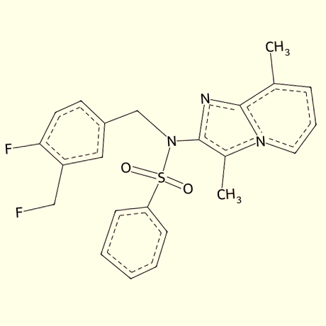 Cc1cccn2c(C)c(N(Cc3ccc(F)c(CF)c3)S(=O)(=O)c3ccccc3)nc12